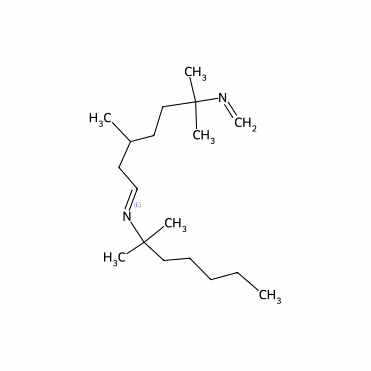 C=NC(C)(C)CCC(C)C/C=N/C(C)(C)CCCCC